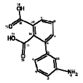 Nc1cccc(-c2cccc(C(=O)O)c2C(=O)O)c1